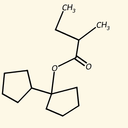 CCC(C)C(=O)OC1(C2CCCC2)CCCC1